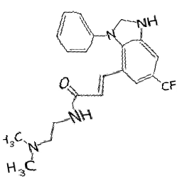 CN(C)CCNC(=O)C=Cc1cc(C(F)(F)F)cc2c1N(c1ccccc1)CN2